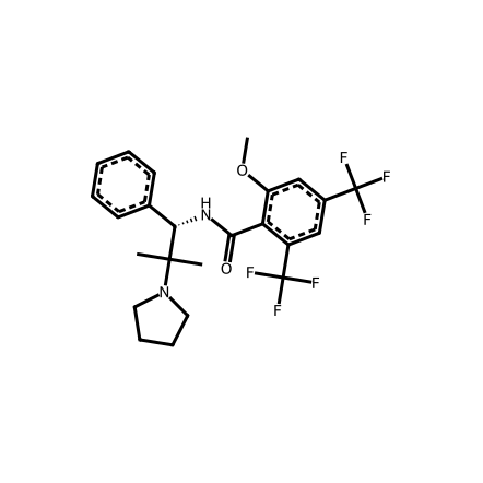 COc1cc(C(F)(F)F)cc(C(F)(F)F)c1C(=O)N[C@@H](c1ccccc1)C(C)(C)N1CCCC1